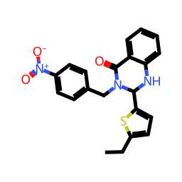 CCc1ccc(C2Nc3ccccc3C(=O)N2Cc2ccc([N+](=O)[O-])cc2)s1